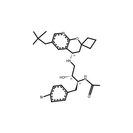 CC(=O)N[C@@H](Cc1ccc(Br)cc1)[C@H](O)CN[C@H]1CC2(CCC2)Oc2ncc(CC(C)(C)C)cc21